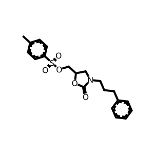 Cc1ccc(S(=O)(=O)OCC2CN(CCCc3ccccc3)C(=O)O2)cc1